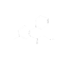 CCCCCCOC(=O)c1cc(C(=O)O)ccc1-c1ccccc1